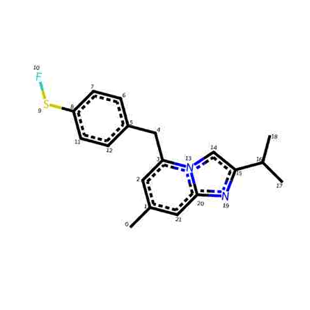 Cc1cc(Cc2ccc(SF)cc2)n2cc(C(C)C)nc2c1